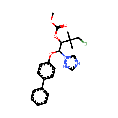 COC(=O)OC(C(Oc1ccc(-c2ccccc2)cc1)n1cncn1)C(C)(C)CCl